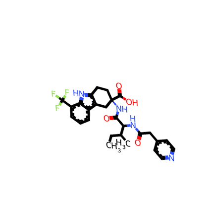 CCC(C)C(NC(=O)Cc1ccncc1)C(=O)N[C@]1(C(=O)O)CCc2[nH]c3c(C(F)(F)F)cccc3c2C1